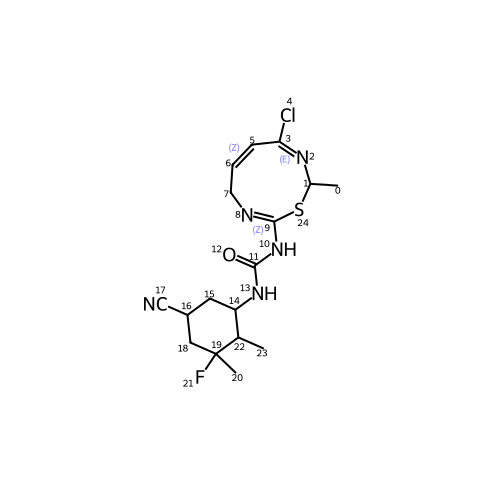 CC1/N=C(Cl)\C=C/C/N=C(/NC(=O)NC2CC(C#N)CC(C)(F)C2C)S1